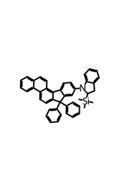 C[Si](C)(C)C1Cc2ccccc2N1c1ccc2c(c1)C(c1ccccc1)(c1ccccc1)c1ccc3c(ccc4ccccc43)c1-2